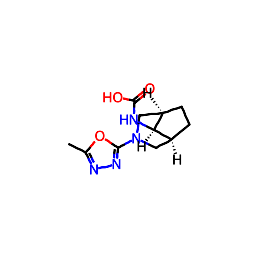 Cc1nnc(N2C[C@H]3CC[C@@H](C2)[C@H]3NC(=O)O)o1